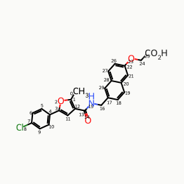 Cc1oc(-c2ccc(Cl)cc2)cc1C(=O)NCc1ccc2cc(OCC(=O)O)ccc2c1